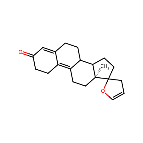 C[C@]12CCC3=C4CCC(=O)C=C4CCC3C1CCC21CC=CO1